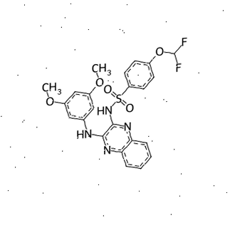 COc1cc(Nc2nc3ccccc3nc2NS(=O)(=O)c2ccc(OC(F)F)cc2)cc(OC)c1